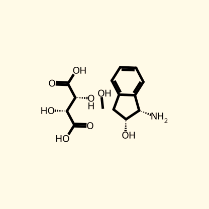 CO.N[C@H]1c2ccccc2C[C@H]1O.O=C(O)[C@H](O)[C@@H](O)C(=O)O